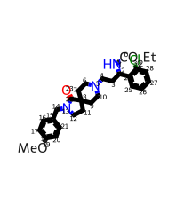 CCOC(=O)NC(CCN1CCC2(CC1)CCN(Cc1ccc(OC)cc1)C2=O)c1ccccc1Cl